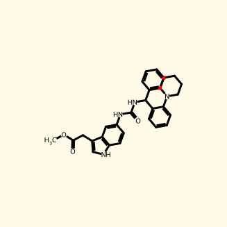 COC(=O)Cc1c[nH]c2ccc(NC(=O)NC(c3ccccc3)c3ccccc3N3CCCCC3)cc12